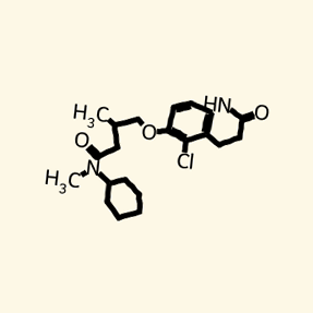 CC(COc1ccc2c(c1Cl)CCC(=O)N2)CC(=O)N(C)C1CCCCC1